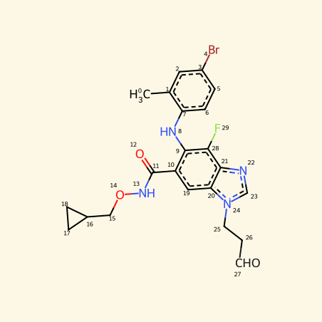 Cc1cc(Br)ccc1Nc1c(C(=O)NOCC2CC2)cc2c(ncn2CCC=O)c1F